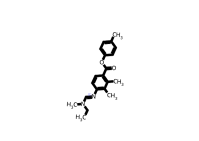 CCN(C)/C=N/c1ccc(C(=O)Oc2ccc(C)cc2)c(C)c1C